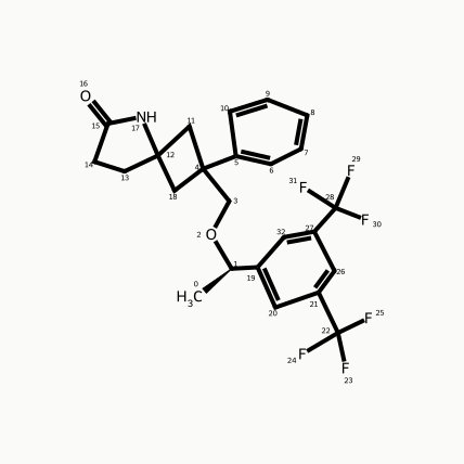 C[C@@H](OCC1(c2ccccc2)CC2(CCC(=O)N2)C1)c1cc(C(F)(F)F)cc(C(F)(F)F)c1